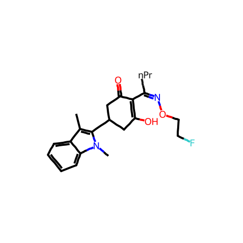 CCC/C(=N/OCCF)C1=C(O)CC(c2c(C)c3ccccc3n2C)CC1=O